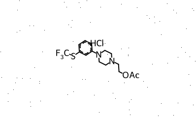 CC(=O)OCCN1CCN(c2cccc(SC(F)(F)F)c2)CC1.Cl